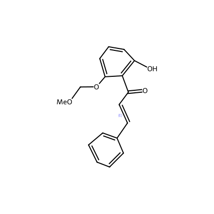 COCOc1cccc(O)c1C(=O)/C=C/c1ccccc1